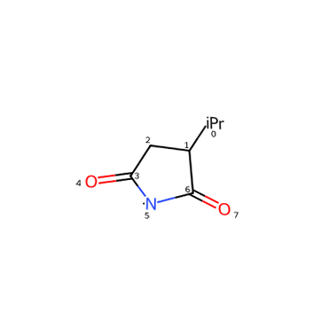 CC(C)C1CC(=O)[N]C1=O